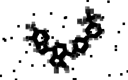 Cc1ccn2c(-c3ncc(Nc4ccc(N5CCO[C@H](C(C)(C)O)C5)cn4)c4c3CNC4=O)cnc2c1F